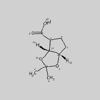 CC1(C)O[C@H]2CCC(C(=O)O)[C@H]2O1